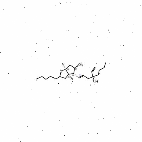 C=CC(O)(C/C=C/[C@@H]1[C@H]2CC(CCCCC)O[C@H]2C[C@H]1O)CCCC